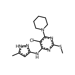 CSc1nc(Nc2cc(C)[nH]n2)c(Cl)c(N2CCCCC2)n1